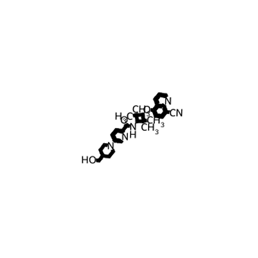 CC1(C)[C@H](NC(=O)c2ccc(N3CCC(CO)CC3)cn2)C(C)(C)[C@H]1Oc1ccc(C#N)c2ncccc12